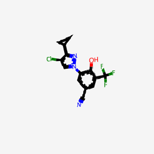 N#Cc1cc(-n2cc(Cl)c(C3CC3)n2)c(O)c(C(F)(F)F)c1